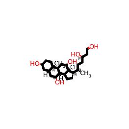 C[C@H](CC[C@@H](O)CCO)[C@H]1CCC2[C@H]3C(C[C@H](O)[C@@]21C)[C@@]1(C)CC[C@@H](O)C[C@H]1C[C@H]3O